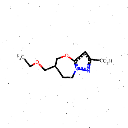 O=C(O)c1cc2n(n1)CCC(COCC(F)(F)F)CO2